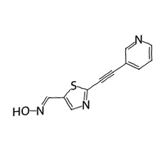 O/N=C/c1cnc(C#Cc2cccnc2)s1